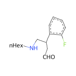 CCCCCCNCC(CC=O)c1ccccc1F